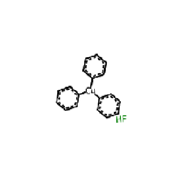 F.c1cc[c]([Cu]([c]2ccccc2)[c]2ccccc2)cc1